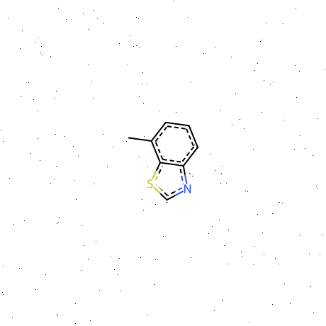 Cc1cccc2n[c]sc12